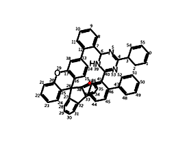 C1=CCC(C2=NC(c3ccccc3-c3ccc4c(c3)Oc3ccccc3C43c4ccccc4-c4ccccc43)NC(c3ccccc3-c3ccccc3)=N2)C=C1